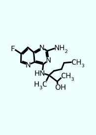 CCCCC(C)(Nc1nc(N)nc2cc(F)cnc12)C(C)O